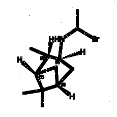 CC(Br)N[C@H]1C[C@H]2C[C@@H]([C@@H]1C)C2(C)C